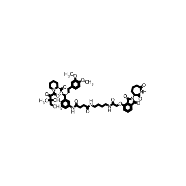 CCC(C)(C)C(=O)C(=O)N1CCCC[C@H]1C(=O)O[C@H](CCc1ccc(OC)c(OC)c1)c1cccc(NC(=O)CCC(=O)NCCCCNC(=O)COc2cccc3c2C(=O)N([C@H]2CCCC(=O)NC2=O)C3=O)c1